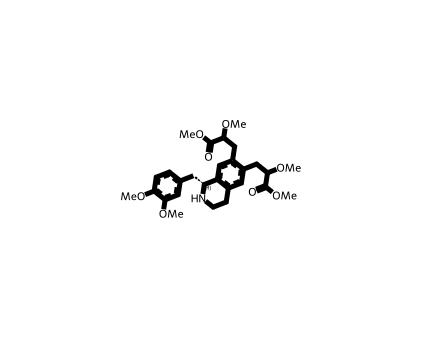 COC(=O)C(Cc1cc2c(cc1CC(OC)C(=O)OC)[C@@H](Cc1ccc(OC)c(OC)c1)NCC2)OC